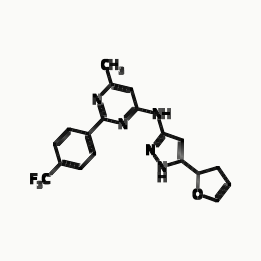 Cc1cc(Nc2cc(C3CC=CO3)[nH]n2)nc(-c2ccc(C(F)(F)F)cc2)n1